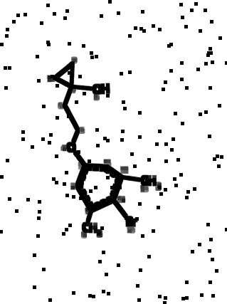 Cc1cc(OCCC2(O)CC2)cc(C)c1Br